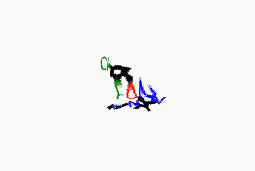 C/C=C/Cn1c(C)c(C)c2cnnc(OCc3ccc(Cl)cc3F)c21